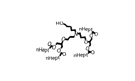 CCCCCCCC(=O)OCC(COC(=O)CCCCCCC)OCCCN(CCCCCO)CCCOC(COC(=O)CCCCCCC)COC(=O)CCCCCCC